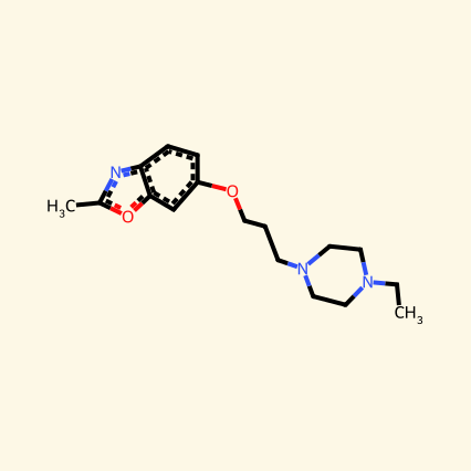 CCN1CCN(CCCOc2ccc3nc(C)oc3c2)CC1